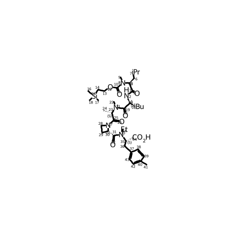 CC[C@H](C)[C@H](NC(=O)[C@H](CC(C)C)N(C)C(=O)OCC[Si](C)(C)C)C(=O)N(C)[C@@H](C)C(=O)N1CC[C@H]1C(=O)N(CC)[C@@H](Cc1ccc(C)cc1)C(=O)O